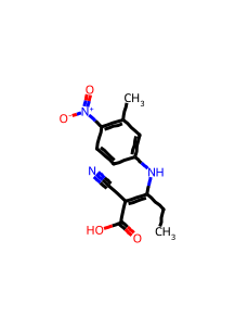 CCC(Nc1ccc([N+](=O)[O-])c(C)c1)=C(C#N)C(=O)O